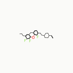 C=CC1CCC(CCc2ccc3c(c2F)Oc2c(cc(CCC)c(F)c2F)C3)CC1